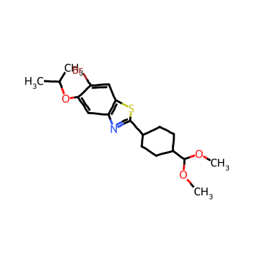 COC(OC)C1CCC(c2nc3cc(OC(C)C)c(Br)cc3s2)CC1